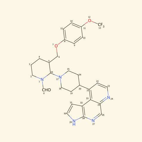 O=CN1CCCC(COc2ccc(OC(F)(F)F)cc2)C1N1CCC(c2ccnc3cnc4[nH]ccc4c23)CC1